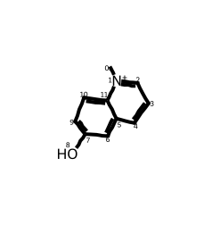 [CH2][n+]1cccc2cc(O)ccc21